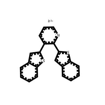 [Ir+3].c1cnc(-c2cc3ccccc3s2)c(-c2cc3ccccc3s2)c1